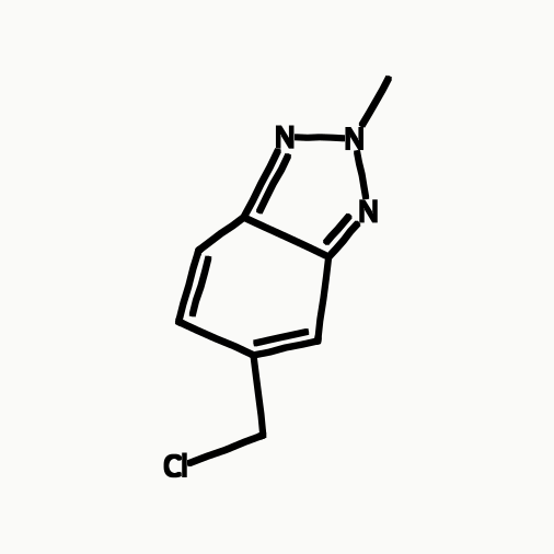 Cn1nc2ccc(CCl)cc2n1